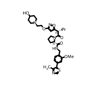 COc1cc(-c2scnc2C)ccc1CNC(=O)[C@@H]1CCCN1C(=O)[C@H](c1cc(OCCN2CCC(O)CC2)no1)C(C)C